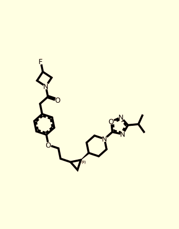 CC(C)c1noc(N2CCC([C@H]3CC3CCOc3ccc(CC(=O)N4CC(F)C4)cc3)CC2)n1